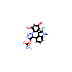 Cn1c(Cl)cc2c(-c3c(OC(N)=O)nnn3-c3ccc(O)cc3O)cccc21